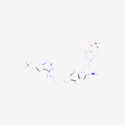 Cc1c(CN2CCC(Nc3ncnc4sc(CC(F)(F)F)cc34)CC2)ccc2c1cc(C#N)n2CCN1CCN(C(=O)C(F)(F)F)CC1